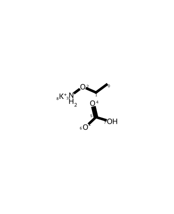 CCON.O=C([O-])O.[K+]